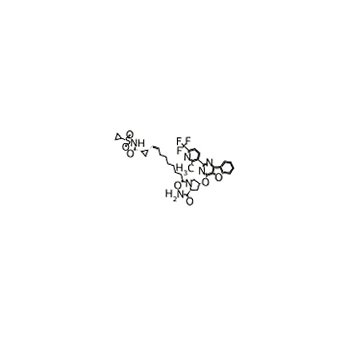 Cc1nc(C(F)(F)F)ccc1-c1nc(O[C@@H]2C[C@@H](C(N)=O)N(C(=O)CCCCCC/C=C\[C@@H]3C[C@@H]3C(=O)NS(=O)(=O)C3CC3)C2)c2oc3ccccc3c2n1